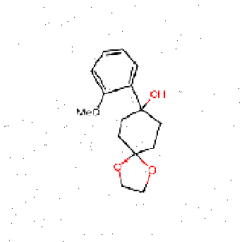 COc1ccccc1C1(O)CCC2(CC1)OCCO2